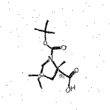 CC(C)(C)OC(=O)N1C[Si](C)(C)C[C@@]1(C)C(=O)O